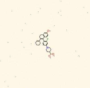 COc1ccc2c(c1)CCC(C1=CCCCC1)=C2c1ccc(N2CCC(C(OC)OC)CC2)cc1F